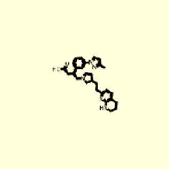 Cc1ccn(-c2cccc(C(CC(=O)O)CN3CCC(CCc4ccc5c(n4)NCCC5)C3)c2)n1